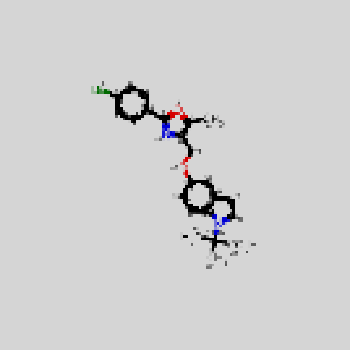 Cc1oc(-c2ccc(Br)cc2)nc1COc1ccc2c(ccn2C(C)(C)C(=O)O)c1